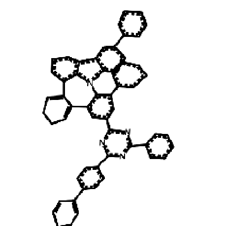 C1=CC(c2ccc(-c3nc(-c4ccccc4)nc(-c4cc5c(c(-c6ccccc6)c4)-n4c6ccc(-c7ccccc7)cc6c6cccc(c64)C4=CCCC=C45)n3)cc2)=CCC1